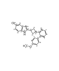 COc1ccc(-c2nccnc2N2CC(c3nc4cc(Cl)ccc4[nH]3)C2)cc1